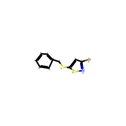 Brc1cc(SCc2ccccc2)sn1